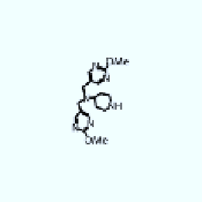 COc1ncc(CN(Cc2cnc(OC)nc2)C2CCNCC2)cn1